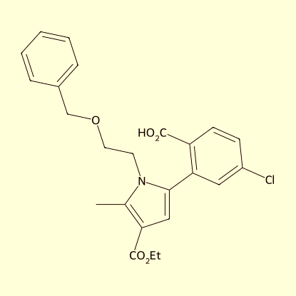 CCOC(=O)c1cc(-c2cc(Cl)ccc2C(=O)O)n(CCOCc2ccccc2)c1C